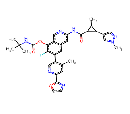 Cc1cc(-c2ncco2)ncc1-c1cc2cc(NC(=O)C3C(C)C3c3cnn(C)c3)ncc2c(OC(=O)NC(C)(C)C)c1F